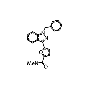 CNC(=O)c1ccc(-c2nn(Cc3ccccc3)c3ccccc23)o1